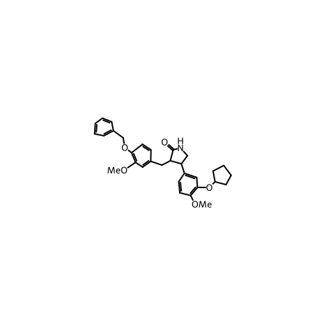 COc1cc(CC2C(=O)NCC2c2ccc(OC)c(OC3CCCC3)c2)ccc1OCc1ccccc1